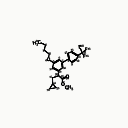 CCCCOc1cc(-c2ccc(C(F)(F)F)cc2)cc(C(CC2CC2)C(=O)OC)c1